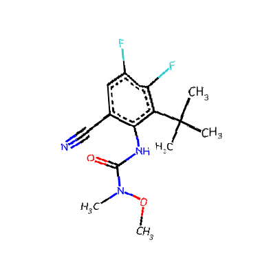 CON(C)C(=O)Nc1c(C#N)cc(F)c(F)c1C(C)(C)C